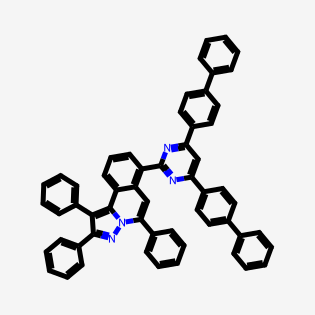 c1ccc(-c2ccc(-c3cc(-c4ccc(-c5ccccc5)cc4)nc(-c4cccc5c4cc(-c4ccccc4)n4nc(-c6ccccc6)c(-c6ccccc6)c54)n3)cc2)cc1